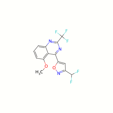 COc1cccc2nc(C(F)(F)F)nc(-c3cc(C(F)F)no3)c12